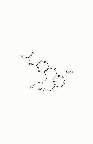 COc1ccc(CC(=O)O)cc1Oc1ccc(NC(=O)C(C)C)cc1CSCC(F)(F)F